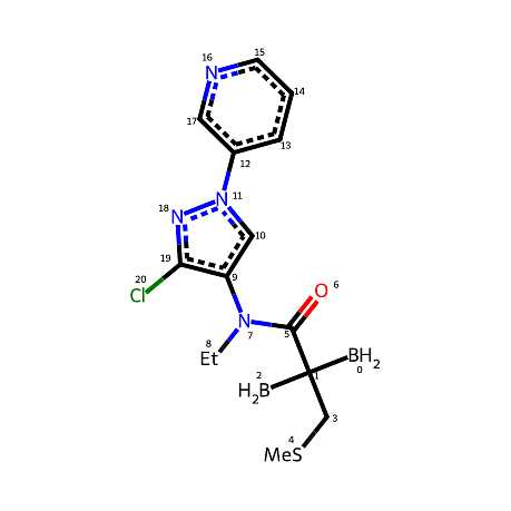 BC(B)(CSC)C(=O)N(CC)c1cn(-c2cccnc2)nc1Cl